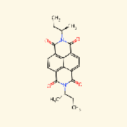 CC[C@@H](C)N1C(=O)c2ccc3c4c(ccc(c24)C1=O)C(=O)N([C@@H](C)CC)C3=O